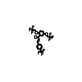 O=C(/C=C/c1ccc(C(F)(F)F)cc1)c1cc(OCC(F)(F)F)ccc1OCC(F)(F)F